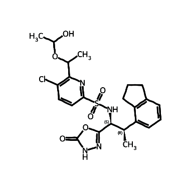 CC(O)OC(C)c1nc(S(=O)(=O)N[C@H](c2n[nH]c(=O)o2)[C@H](C)c2cccc3c2CCC3)ccc1Cl